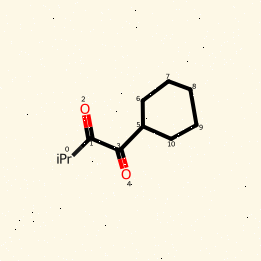 CC(C)C(=O)C(=O)C1CCCCC1